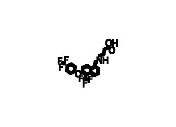 O=C(O)CCCNCc1cccc2c(C(F)(F)F)c(O[C@H]3CC[C@@H](C(F)(F)F)CC3)ccc12